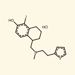 CN(CCc1cccs1)CC1CCCc2c1ccc(O)c2I.Cl